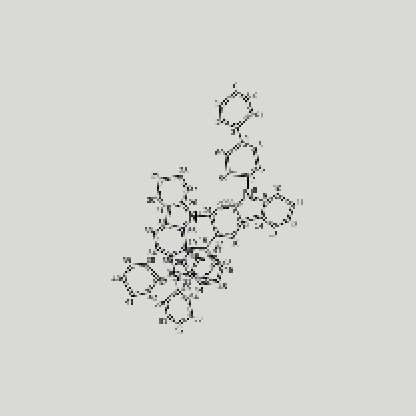 c1ccc(-c2ccc(-n3c4ccccc4c4cc(-c5ccccc5)c(-n5c6ccccc6c6ccc([Si](c7ccccc7)(c7ccccc7)c7ccccc7)cc65)cc43)cc2)cc1